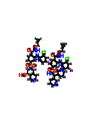 O=C(NOCC1CC1)c1ccc(S(=O)(=O)N(CCO)Cc2ccncc2)cc1Nc1ccc(I)cc1Cl.O=C(NOCC1CC1)c1ccc(S(=O)(=O)NC(c2cccnc2)c2cccnc2)cc1Nc1ccc(I)cc1Cl